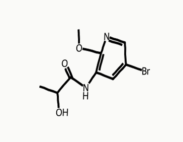 COc1ncc(Br)cc1NC(=O)C(C)O